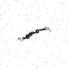 CCCCCCC[C@H]1CC[C@H](CCCOc2ccc([C@H]3OC[C@H](CCC)CO3)cc2)CC1